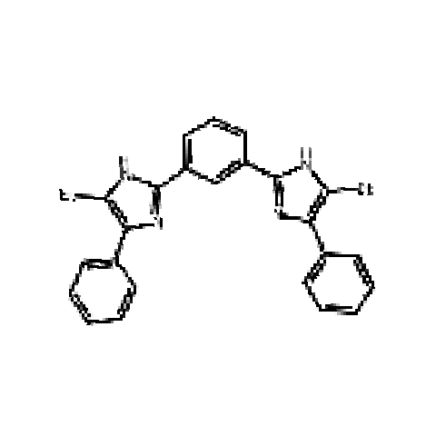 CCc1[nH]c(-c2cccc(-c3nc(-c4ccccc4)c(CC)[nH]3)c2)nc1-c1ccccc1